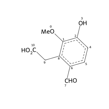 COc1c(O)ccc(C=O)c1CC(=O)O